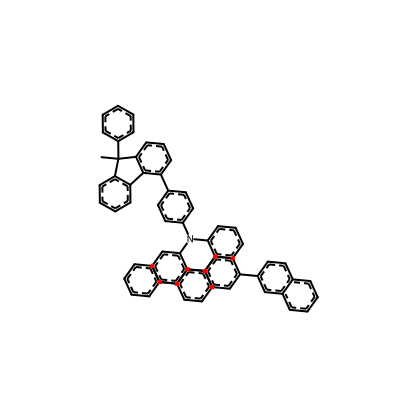 CC1(c2ccccc2)c2ccccc2-c2c(-c3ccc(N(c4ccccc4-c4ccc(-c5ccc6ccccc6c5)cc4)c4ccccc4-c4cccc(-c5ccccc5)c4)cc3)cccc21